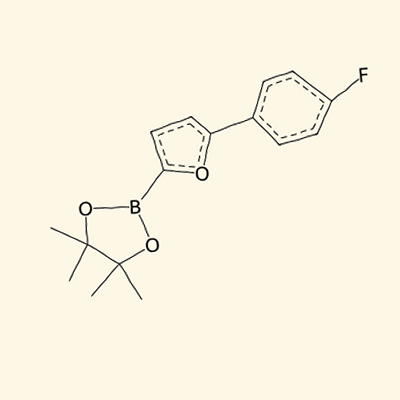 CC1(C)OB(c2ccc(-c3ccc(F)cc3)o2)OC1(C)C